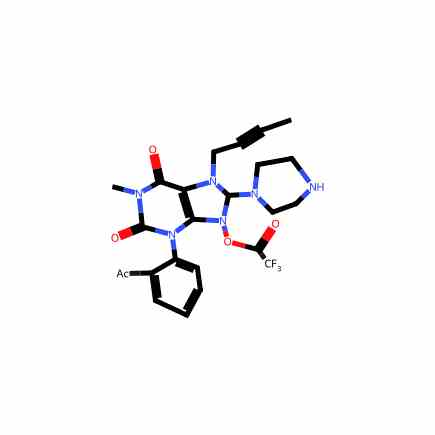 CC#CCN1c2c(n(-c3ccccc3C(C)=O)c(=O)n(C)c2=O)N(OC(=O)C(F)(F)F)C1N1CCNCC1